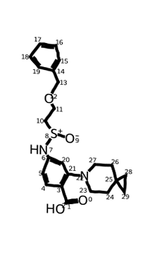 O=C(O)c1ccc(N[S+]([O-])CCOCc2ccccc2)cc1N1CCC2(CC1)CC2